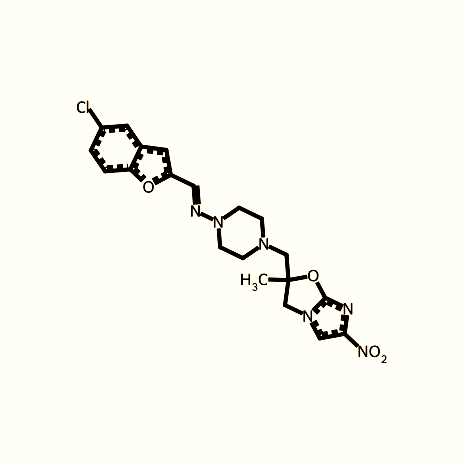 CC1(CN2CCN(N=Cc3cc4cc(Cl)ccc4o3)CC2)Cn2cc([N+](=O)[O-])nc2O1